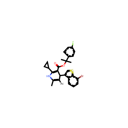 CC(=O)C1=C(C)NC(C2CC2)=C(C(=O)OC(C)(C)c2ccc(F)cc2)C1c1csc2c(Br)cccc12